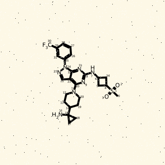 CS(=O)(=O)C1CC(Nc2nc(N3CCC(C4(N)CC4)CC3)c3cnn(-c4cccc(C(F)(F)F)c4)c3n2)C1